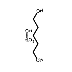 O=[N+]([O-])O.OCCCCCO